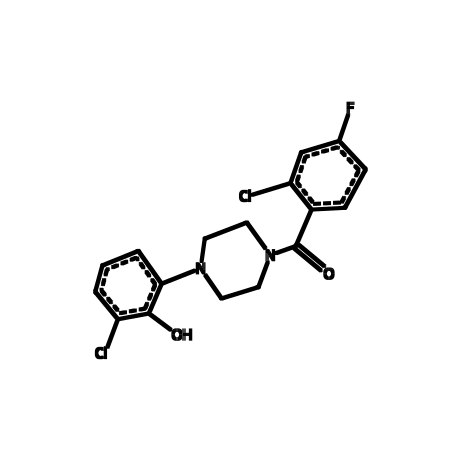 O=C(c1ccc(F)cc1Cl)N1CCN(c2cccc(Cl)c2O)CC1